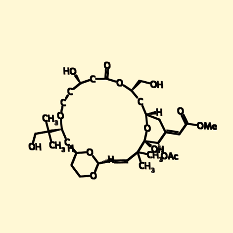 COC(=O)/C=C1\C[C@H]2C[C@H](CO)OC(=O)C[C@H](O)CCO[C@H](C(C)(C)CO)C[C@@H]3CCO[C@H](/C=C/C(C)(C)[C@](O)(O2)[C@H]1OC(C)=O)O3